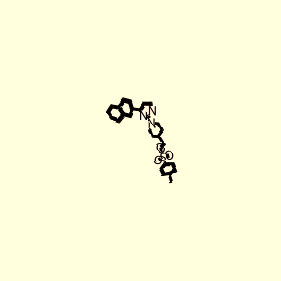 Cc1ccc(S(=O)(=O)OCC2CCN(c3nccc(-c4ccc5ccccc5c4)n3)CC2)cc1